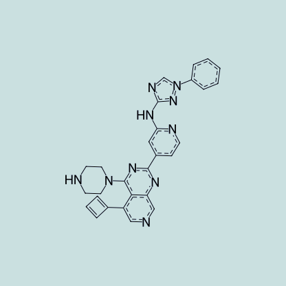 C1=CC(c2cncc3nc(-c4ccnc(Nc5ncn(-c6ccccc6)n5)c4)nc(N4CCNCC4)c23)=C1